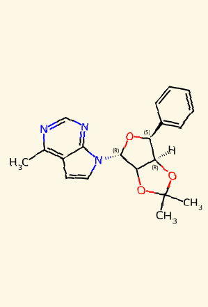 Cc1ncnc2c1ccn2[C@@H]1O[C@@H](c2ccccc2)[C@H]2OC(C)(C)OC12